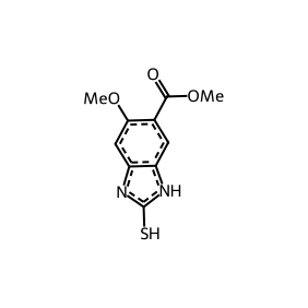 COC(=O)c1cc2[nH]c(S)nc2cc1OC